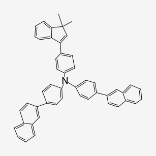 CC1(C)C=C(c2ccc(N(c3ccc(-c4ccc5ccccc5c4)cc3)c3ccc(-c4ccc5ccccc5c4)cc3)cc2)c2ccccc21